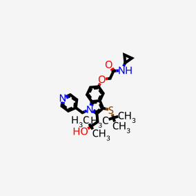 CC(C)(O)Cc1c(SC(C)(C)C)c2cc(OCC(=O)NC3CC3)ccc2n1Cc1ccncc1